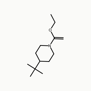 C=C(OCC)N1CCC(C(C)(C)C)CC1